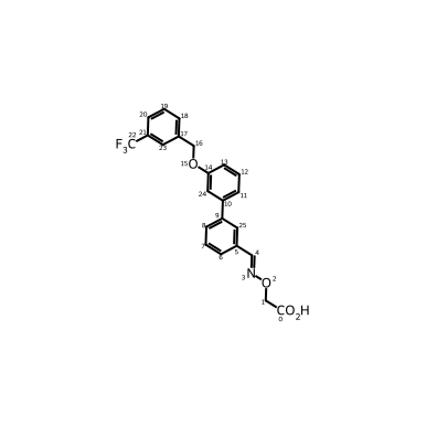 O=C(O)CO/N=C/c1cccc(-c2cccc(OCc3cccc(C(F)(F)F)c3)c2)c1